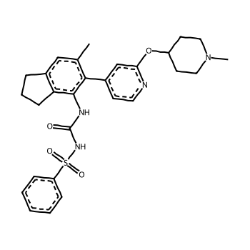 Cc1cc2c(c(NC(=O)NS(=O)(=O)c3ccccc3)c1-c1ccnc(OC3CCN(C)CC3)c1)CCC2